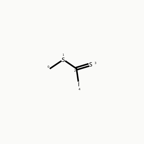 CSC(=S)I